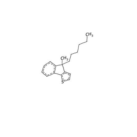 CCCCCCC1(C)c2ccccc2-c2sccc21